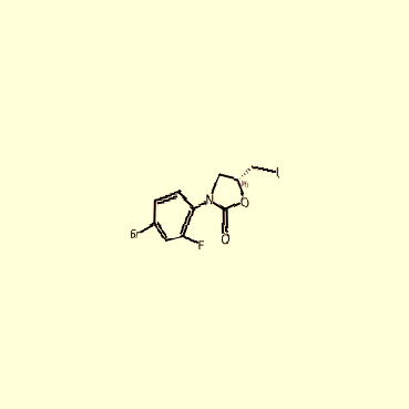 O=C1O[C@@H](CI)CN1c1ccc(Br)cc1F